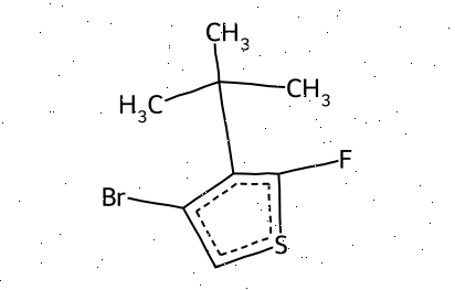 CC(C)(C)c1c(Br)csc1F